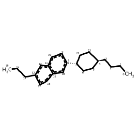 CCCC[C@H]1CC[C@H](c2ccc3cc(CCC)ccc3c2)CC1